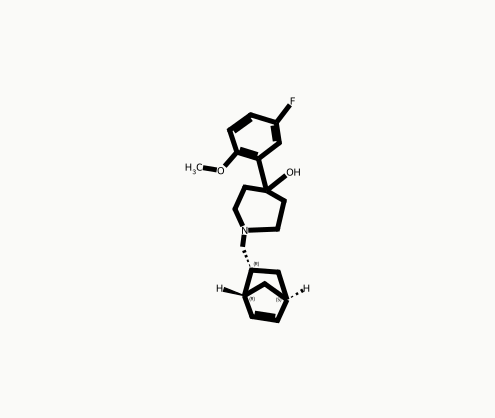 COc1ccc(F)cc1C1(O)CCN(C[C@@H]2C[C@H]3C=C[C@H]2C3)CC1